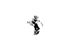 Cc1nn(C(C)(C)C)c2c1C(c1ccc(N3CCCS3(=O)=O)cc1)C(C#N)=C(N)O2